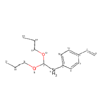 C=Cc1ccc([SiH2]C(OCCC)OCCC)cc1